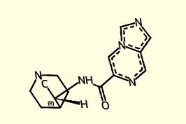 O=C(N[C@H]1CN2CCC1CC2)c1cn2cncc2cn1